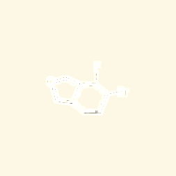 Fc1c(Br)ccc2cocc12